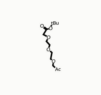 CC(=O)COCCOCCOCC(=O)OC(C)(C)C